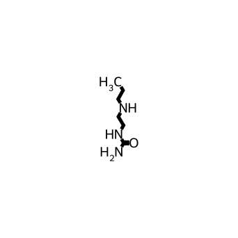 CCCNCCNC(N)=O